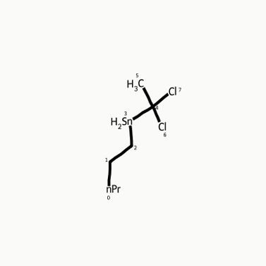 CCCC[CH2][SnH2][C](C)(Cl)Cl